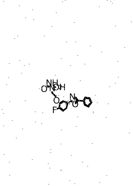 NC(=O)N(O)CCOC1=C[C@@H](c2ncc(-c3ccccc3)o2)CC=C1F